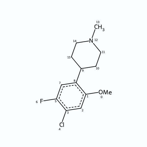 COc1cc(Cl)c(F)cc1C1CCN(C)CC1